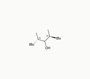 C[C@H](C(O)[C@@H](C)C(C)(C)C)C(C)(C)C